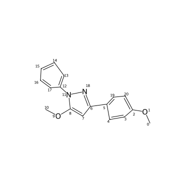 COc1ccc(-c2cc(OC)n(-c3ccccc3)n2)cc1